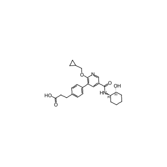 O=C(O)CCc1ccc(-c2cc(C(=O)N[C@@H]3CCCC[C@H]3O)cnc2OCC2CC2)cc1